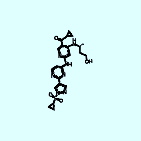 C[C@H](CCO)Nc1cc(Nc2ccnc(-c3cnn(S(=O)(=O)C4CC4)c3)n2)ncc1C(=O)C1CC1